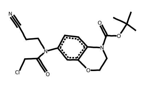 CC(C)(C)OC(=O)N1CCOc2cc(N(CCC#N)C(=O)CCl)ccc21